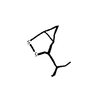 CC(C)C1SSC2CC21